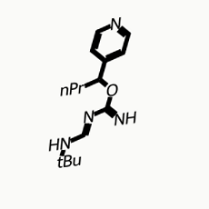 CCCC(OC(=N)/N=C/NC(C)(C)C)c1ccncc1